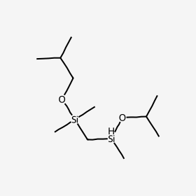 CC(C)CO[Si](C)(C)C[SiH](C)OC(C)C